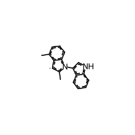 Cc1cccc2c1[c]c(C)n2-c1c[nH]c2ccccc12